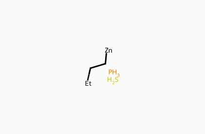 CCC[CH2][Zn].P.S